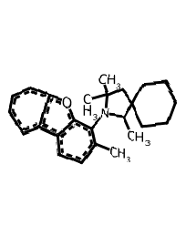 Cc1ccc2c(oc3ccccc32)c1N1C(C)C2(CCCCC2)CC1(C)C